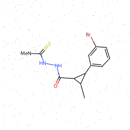 CNC(=S)NNC(=O)C1C(C)C1c1cccc(Br)c1